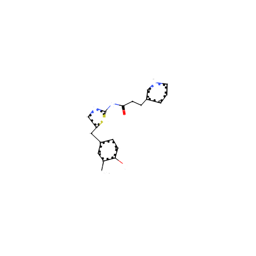 COc1cc(Cc2cnc(NC(=O)CCc3cccnc3)s2)ccc1O